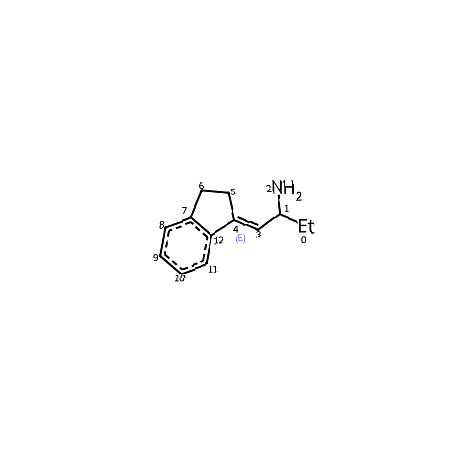 CCC(N)/C=C1\CCc2ccccc21